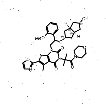 COc1ccccc1C(Cn1c(=O)n(C(C)(C)C(=O)N2CCOCC2)c(=O)c2c(C)c(-c3ncco3)sc21)O[C@H]1C[C@H]2C[C@@H](O)C[C@H]2C1